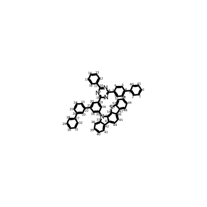 c1ccc(-c2ccc(-c3nc(-c4ccccc4)nc(-c4cc(-c5cccc(-c6ccccc6)c5)cc(-n5c6ccccc6c6ccc7c8ccccc8sc7c65)c4)n3)cc2)cc1